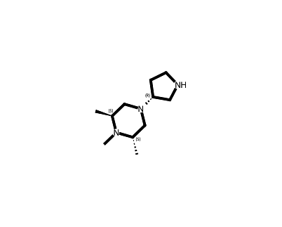 C[C@H]1CN([C@@H]2CCNC2)C[C@H](C)N1C